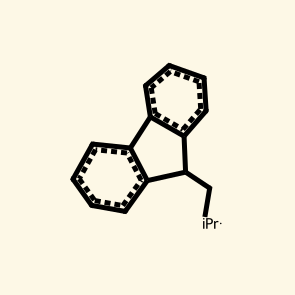 C[C](C)CC1c2ccccc2-c2ccccc21